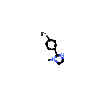 CC(C)c1ccc(-c2nccn2C)cc1